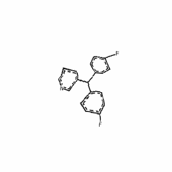 Fc1ccc(C(c2ccc(F)cc2)c2cccnc2)cc1